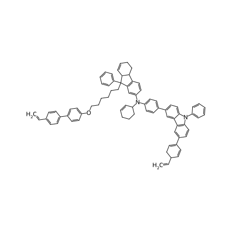 C=Cc1ccc(-c2ccc(OCCCCCCC3(c4ccccc4)c4cc(N(c5ccc(-c6ccc7c(c6)c6cc(C8=CCC(C=C)C=C8)ccc6n7-c6ccccc6)cc5)C5C=CCCC5)ccc4C4CCC=CC43)cc2)cc1